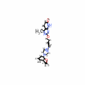 Cc1nc(OCCCCN2CCN(c3cccc4ccoc34)CC2)nc2[nH]c(=O)ccc12